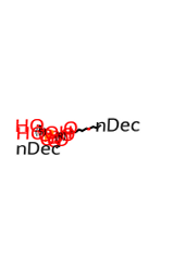 CCCCCCCCCCCCCCCCCC(=O)OC[C@H](COP(=O)(O)OC[C@@H](O)CO)OC(=O)CCCCCCCCCCC